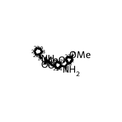 COc1ccc(C(N)c2ccc(OCC(=O)NCC3CCCCC3)cc2)c(OC)c1